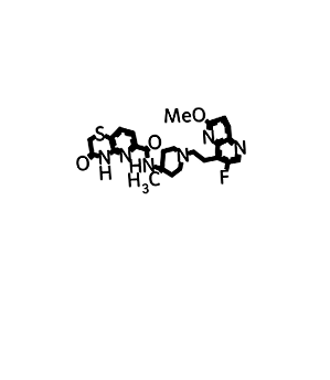 COc1ccc2ncc(F)c(CCN3CCC(C)(NC(=O)c4ccc5c(n4)NC(=O)CS5)CC3)c2n1